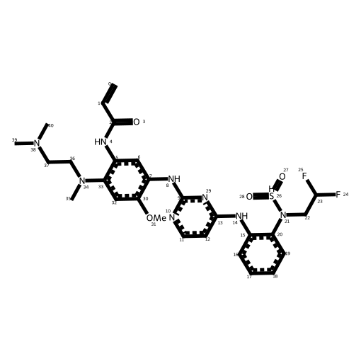 C=CC(=O)Nc1cc(Nc2nccc(Nc3ccccc3N(CC(F)F)[SH](=O)=O)n2)c(OC)cc1N(C)CCN(C)C